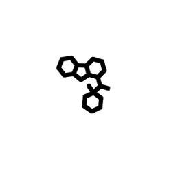 CC(C1CCCC2C3CCCCC3CC21)C1(C)CCCCC1